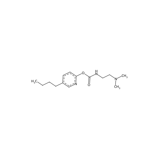 CCCCc1ccc(OC(=O)NCCN(C)C)nc1